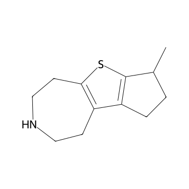 CC1CCc2c1sc1c2CCNCC1